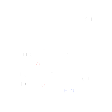 CCCC1CCC[Si](OC)(OC)C1OC.CN